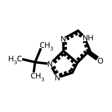 CC(C)(C)n1ncc2c(=O)[nH]cnc21